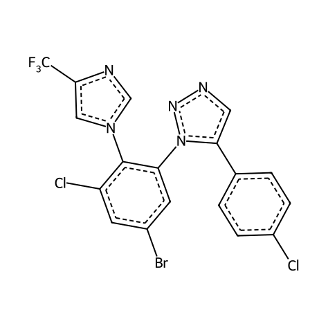 FC(F)(F)c1cn(-c2c(Cl)cc(Br)cc2-n2nncc2-c2ccc(Cl)cc2)cn1